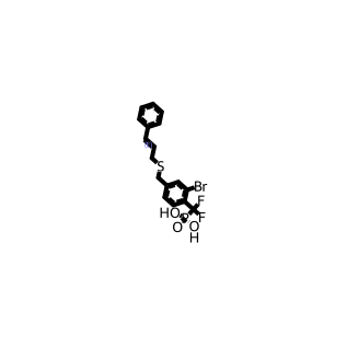 O=P(O)(O)C(F)(F)c1ccc(CSC/C=C/c2ccccc2)cc1Br